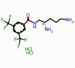 Cl.Cl.NCCC[C@H](N)CNC(=O)c1cc(C(F)(F)F)cc(C(F)(F)F)c1